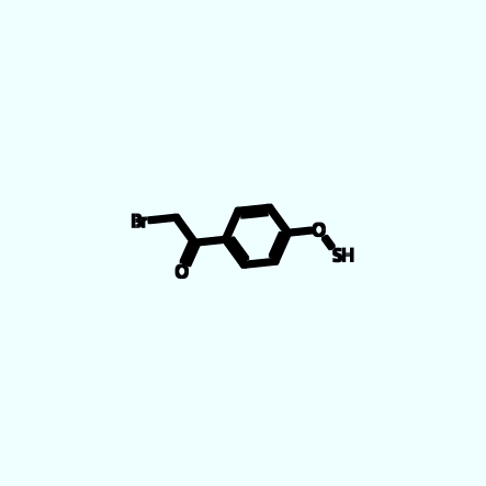 O=C(CBr)c1ccc(OS)cc1